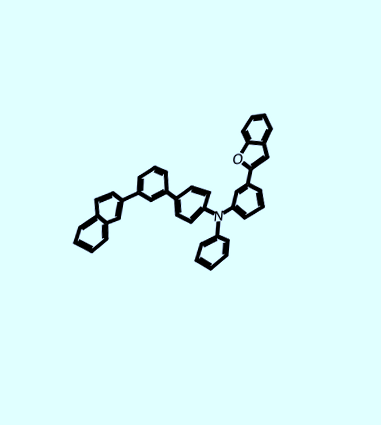 c1ccc(N(c2ccc(-c3cccc(-c4ccc5ccccc5c4)c3)cc2)c2cccc(-c3cc4ccccc4o3)c2)cc1